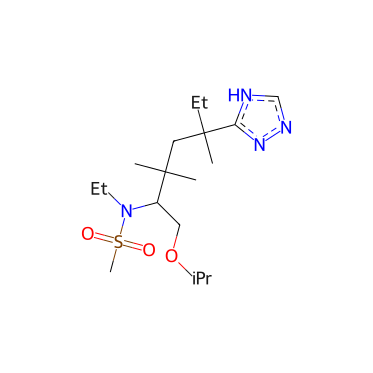 CCN(C(COC(C)C)C(C)(C)CC(C)(CC)c1nnc[nH]1)S(C)(=O)=O